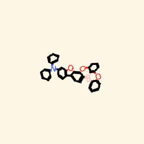 c1ccc(N(c2ccccc2)c2ccc3c(c2)oc2c4c(ccc23)B2c3ccccc3Oc3cccc(c32)O4)cc1